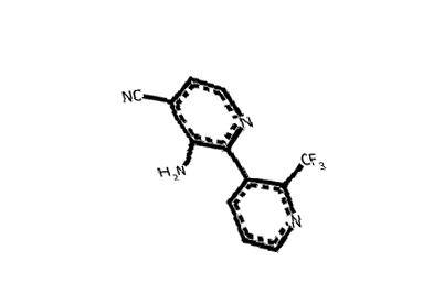 N#Cc1ccnc(-c2cccnc2C(F)(F)F)c1N